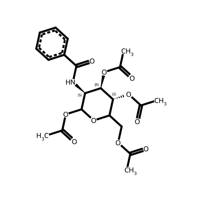 CC(=O)OCC1OC(OC(C)=O)[C@@H](NC(=O)c2ccccc2)[C@@H](OC(C)=O)[C@@H]1OC(C)=O